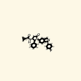 O=C(N[C@H]1CC(=O)N(c2ccc3c(cnn3-c3ccc(F)cc3)c2)C1c1ccccc1)C1CC1